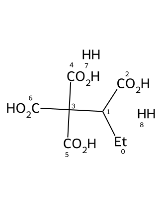 CCC(C(=O)O)C(C(=O)O)(C(=O)O)C(=O)O.[HH].[HH]